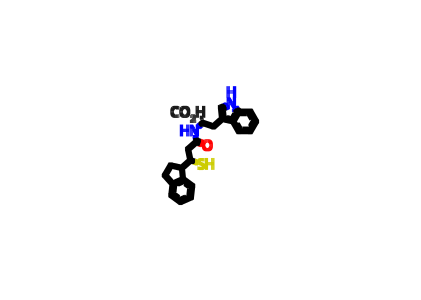 O=C(CC(S)C1CCc2ccccc21)N[C@@H](Cc1c[nH]c2ccccc12)C(=O)O